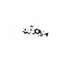 Cc1cc(CN2C(=O)c3cc(S(=O)(=O)NC4(C)CC4)ccc3N3C2=NC[C@@H]3C(C)C)on1